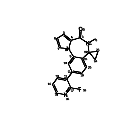 CN1C(=O)c2cccn2-c2cc(-c3cccnc3F)ccc2C12CC2